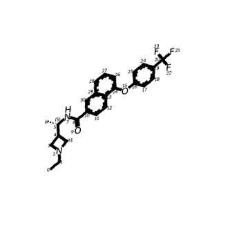 CCN1CC([C@H](C)NC(=O)c2ccc3c(Oc4ccc(C(F)(F)F)cc4)cccc3c2)C1